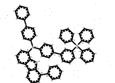 c1ccc(-c2ccc(N(c3ccc(-c4cccc([Si](c5ccccc5)(c5ccccc5)c5ccccc5)c4)cc3)c3cccc4c3sc3c(-c5ccccc5)cccc34)cc2)cc1